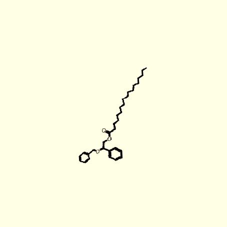 CCCCCCCCCCCCCCCCCC(=O)OCC(OCc1ccccc1)c1ccccc1